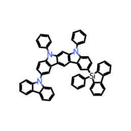 c1ccc(-n2c3ccc(-n4c5ccccc5c5ccccc54)cc3c3cc4c5cc([Si]6(c7ccccc7)c7ccccc7-c7ccccc76)ccc5n(-c5ccccc5)c4cc32)cc1